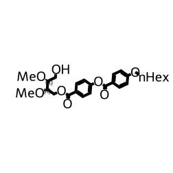 CCCCCCOc1ccc(C(=O)Oc2ccc(C(=O)OC[C@@H](OC)[C@@H](CO)OC)cc2)cc1